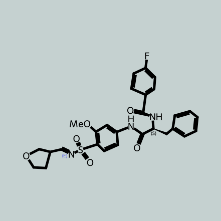 COc1cc(NC(=O)[C@H](Cc2ccccc2)NC(=O)c2ccc(F)cc2)ccc1S(=O)(=O)/N=C/C1CCOC1